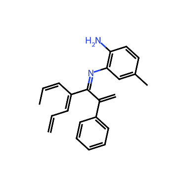 C=C/C=C(\C=C/C)C(=N/c1cc(C)ccc1N)/C(=C)c1ccccc1